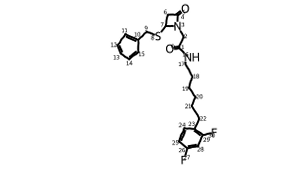 O=C(CN1C(=O)CC1SCc1ccccc1)NCCCCCCc1ccc(F)cc1F